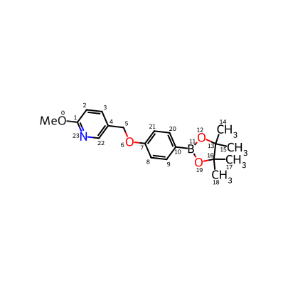 COc1ccc(COc2ccc(B3OC(C)(C)C(C)(C)O3)cc2)cn1